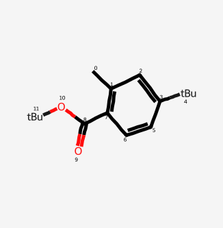 Cc1cc(C(C)(C)C)ccc1C(=O)OC(C)(C)C